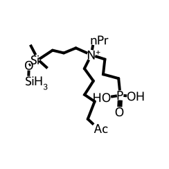 CCC[N+](CCCCCC(C)=O)(CCC[Si](C)(C)O[SiH3])CCCP(=O)(O)O